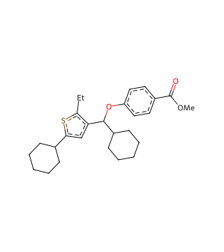 CCc1sc(C2CCCCC2)cc1C(Oc1ccc(C(=O)OC)cc1)C1CCCCC1